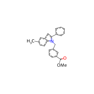 COC(=O)c1cccc(Cn2c(-c3ccccc3)cc3cc(C)ccc32)c1